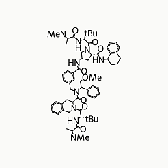 CN[C@@H](C)C(=O)N[C@H](C(=O)N1C[C@@H](NC(=O)c2cccc(CN(C(=O)[C@@H]3Cc4ccccc4CN3C(=O)[C@@H](NC(=O)[C@H](C)NC)C(C)(C)C)[C@@H](COC)c3ccccc3)c2)C[C@H]1C(=O)N[C@@H]1CCCc2ccccc21)C(C)(C)C